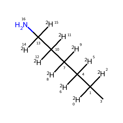 [2H]C([2H])(C)C([2H])([2H])C([2H])([2H])C([2H])([2H])C([2H])([2H])N